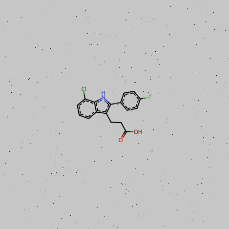 O=C(O)CCc1c(-c2ccc(F)cc2)[nH]c2c(Cl)cccc12